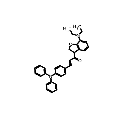 CCN(CC)c1cccc2c1OCC2C(=O)C=Cc1ccc(N(c2ccccc2)c2ccccc2)cc1